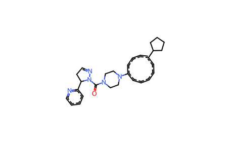 O=C(N1CCN(c2cccccc(C3CCCC3)ccc2)CC1)N1N=CCC1c1ccccn1